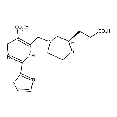 CCOC(=O)C1=C(CN2CCO[C@H](CCC(=O)O)C2)NC(c2nccs2)=NC1